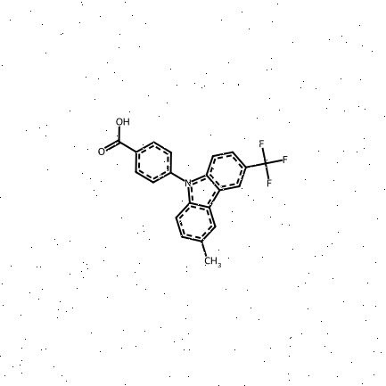 Cc1ccc2c(c1)c1cc(C(F)(F)F)ccc1n2-c1ccc(C(=O)O)cc1